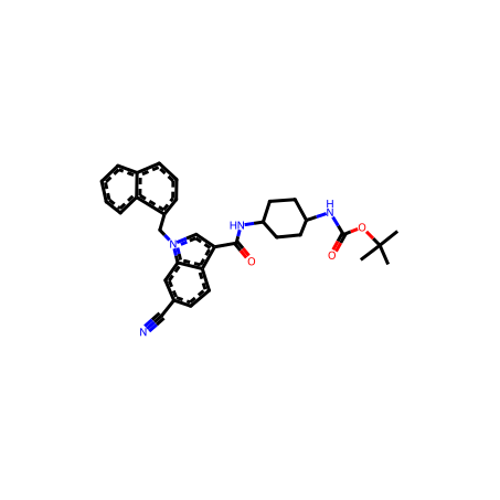 CC(C)(C)OC(=O)NC1CCC(NC(=O)c2cn(Cc3cccc4ccccc34)c3cc(C#N)ccc23)CC1